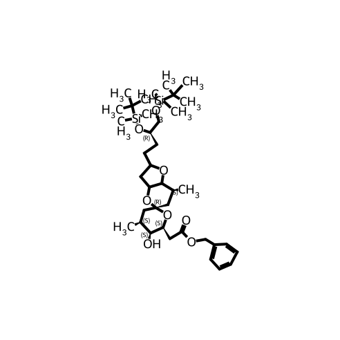 C[C@H]1C[C@@]2(C[C@H](C)[C@H](O)[C@H](CC(=O)OCc3ccccc3)O2)OC2CC(CC[C@H](CO[Si](C)(C)C(C)(C)C)O[Si](C)(C)C(C)(C)C)OC21